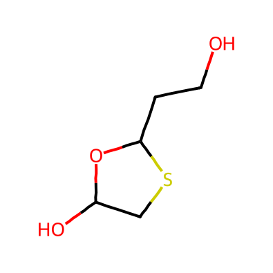 OCCC1OC(O)CS1